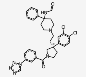 O=CNC1(c2ccccc2)CCN(CC[C@]2(c3ccc(Cl)c(Cl)c3)CCN(C(=O)c3cccc(-n4cnnn4)c3)C2)CC1